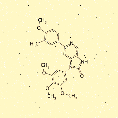 COc1ccc(-c2cc3c(cn2)[nH]c(=O)n3-c2cc(OC)c(OC)c(OC)c2)cc1C